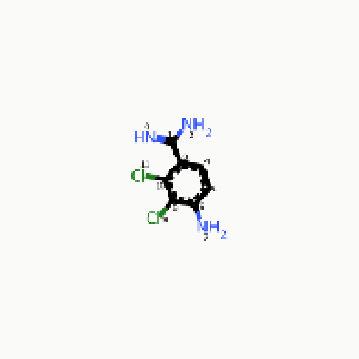 N=C(N)c1ccc(N)c(Cl)c1Cl